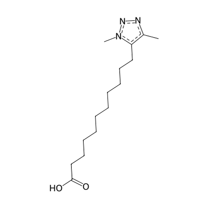 Cc1nnn(C)c1CCCCCCCCCCC(=O)O